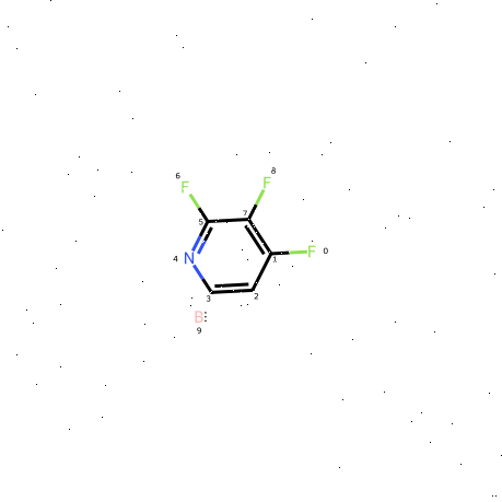 Fc1ccnc(F)c1F.[B]